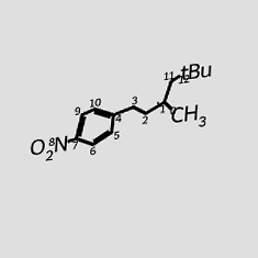 C[C](CCc1ccc([N+](=O)[O-])cc1)CC(C)(C)C